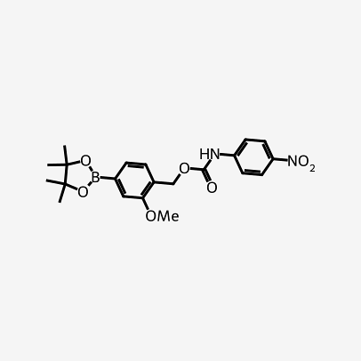 COc1cc(B2OC(C)(C)C(C)(C)O2)ccc1COC(=O)Nc1ccc([N+](=O)[O-])cc1